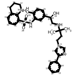 CC(C)(CCn1cnc(-c2ccccc2)c1)NC[C@H](O)c1ccc(O)c(NS(=O)(=O)c2cccc3c2NCCC3)c1